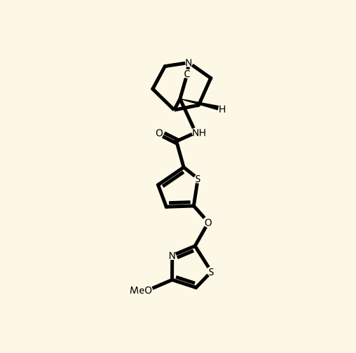 COc1csc(Oc2ccc(C(=O)N[C@H]3CN4CCC3CC4)s2)n1